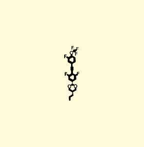 CCC[C@H]1CO[C@H](c2cc(F)c(C#Cc3ccc(OC(F)(F)F)c(F)c3)c(F)c2)OC1